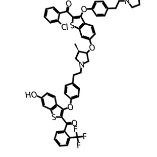 C[C@H]1CCN(CCc2ccc(Oc3c(C(=O)c4ccccc4Cl)sc4cc(OC5CN(CCc6ccc(Oc7c(C(=O)c8ccccc8C(F)(F)F)sc8cc(O)ccc78)cc6)C[C@H]5C)ccc34)cc2)C1